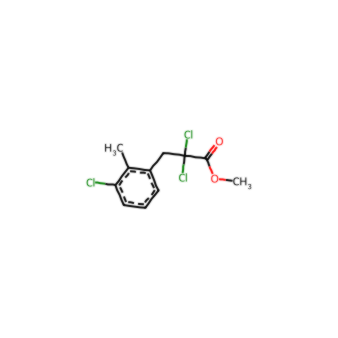 COC(=O)C(Cl)(Cl)Cc1cccc(Cl)c1C